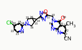 Cc1cc(C#N)nc2ncn(Cc3nc(C4C5CN(c6cc(Cl)ccn6)CC54)no3)c(=O)c12